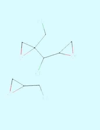 ClCC1(C(Cl)C2CO2)CO1.ClCC1CO1